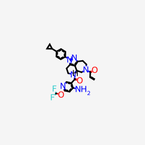 C=CC(=O)N1CCc2nn(-c3ccc(C4CC4)cc3)c3c2[C@H](C1)N(C(=O)c1cnc(OC(F)F)cc1N)CC3